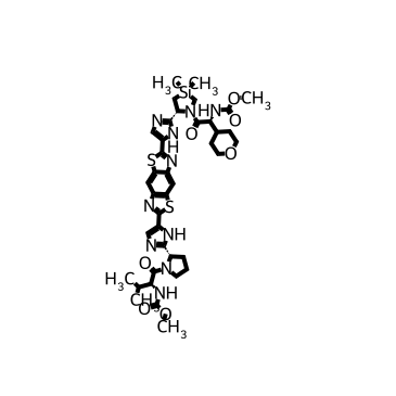 COC(=O)N[C@H](C(=O)N1CCC[C@H]1c1ncc(-c2nc3cc4sc(-c5cnc([C@@H]6C[Si](C)(C)CN6C(=O)[C@@H](NC(=O)OC)C6CCOCC6)[nH]5)nc4cc3s2)[nH]1)C(C)C